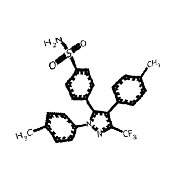 Cc1ccc(-c2c(C(F)(F)F)nn(-c3ccc(C)cc3)c2-c2ccc(S(N)(=O)=O)cc2)cc1